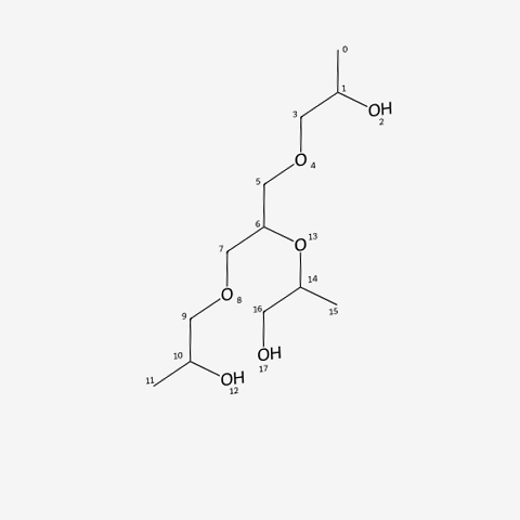 CC(O)COCC(COCC(C)O)OC(C)CO